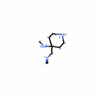 C=NCC1(NC)CCNCC1